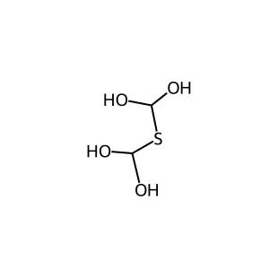 OC(O)SC(O)O